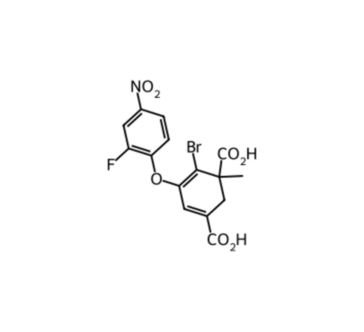 CC1(C(=O)O)CC(C(=O)O)=CC(Oc2ccc([N+](=O)[O-])cc2F)=C1Br